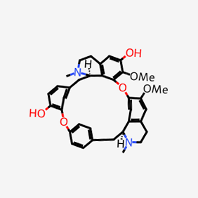 COc1cc2c3cc1Oc1c(OC)c(O)cc4c1[C@@H](Cc1ccc(O)c(c1)Oc1ccc(cc1)C[C@@H]3N(C)CC2)N(C)CC4